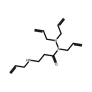 C=CCNCCC(=O)N(CC=C)N(CC=C)CC=C